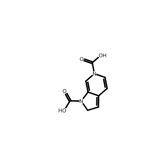 O=C(O)N1C=CC2=CCN(C(=O)O)C2=C1